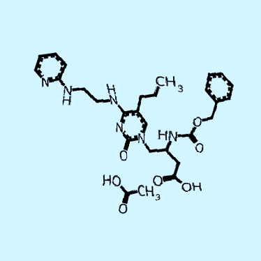 CC(=O)O.CCCc1cn(CC(CC(=O)O)NC(=O)OCc2ccccc2)c(=O)nc1NCCNc1ccccn1